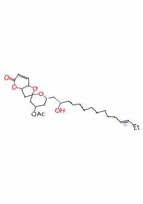 CC/C=C/CCCCCCCCCC(O)CC1CC(OC(C)=O)CC2(CC3OC(=O)C=CC3O2)O1